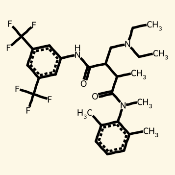 CCN(CC)CC(C(=O)Nc1cc(C(F)(F)F)cc(C(F)(F)F)c1)C(C)C(=O)N(C)c1c(C)cccc1C